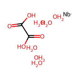 O.O.O.O.O.O.O=C(O)C(=O)O.[Nb]